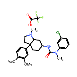 COc1ccc(C23CCC(NC(=O)N(C)c4cccc(Cl)c4)CC2N(C)CC3)cc1OC.O=C(O)C(F)(F)F